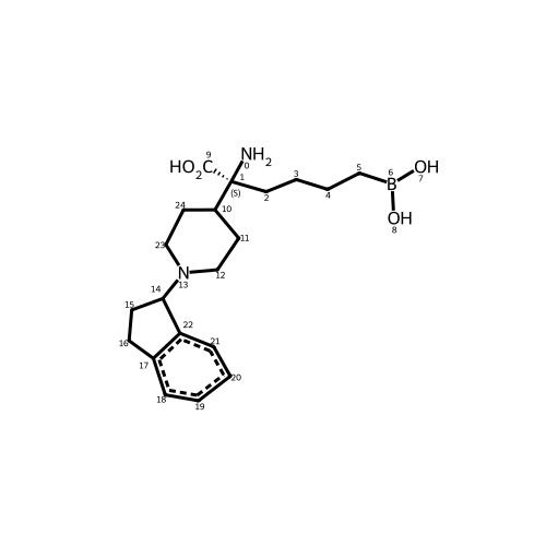 N[C@](CCCCB(O)O)(C(=O)O)C1CCN(C2CCc3ccccc32)CC1